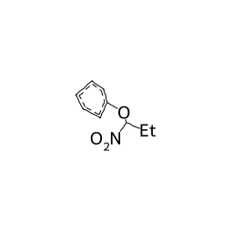 CCC(Oc1ccccc1)[N+](=O)[O-]